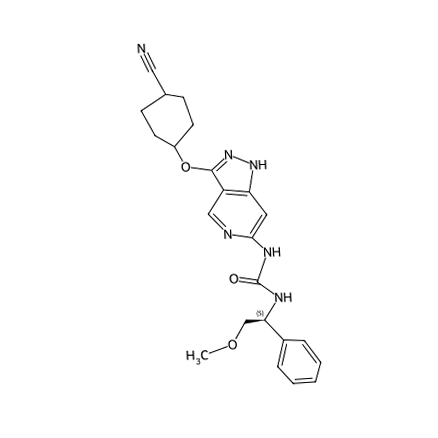 COC[C@@H](NC(=O)Nc1cc2[nH]nc(OC3CCC(C#N)CC3)c2cn1)c1ccccc1